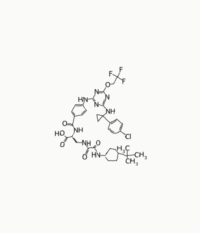 CC(C)(C)C1CCC(NC(=O)C(=O)NC[C@H](NC(=O)c2ccc(Nc3nc(NC4(c5ccc(Cl)cc5)CC4)nc(OCC(F)(F)F)n3)cc2)C(=O)O)CC1